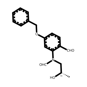 C[C@H](O)CN(C=O)c1cc(OCc2ccccc2)ccc1C=O